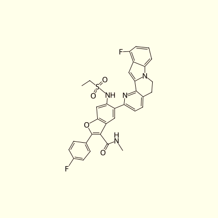 CCS(=O)(=O)Nc1cc2oc(-c3ccc(F)cc3)c(C(=O)NC)c2cc1-c1ccc2c(n1)-c1cc3c(F)cccc3n1CC2